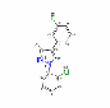 CC1NN(c2ccccc2Cl)C=C1c1cccc(F)c1